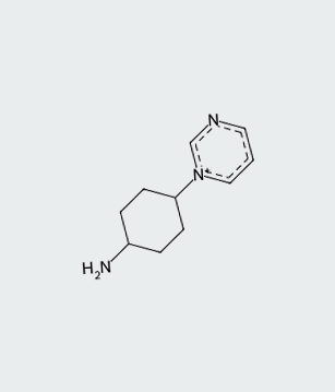 NC1CCC([n+]2cccnc2)CC1